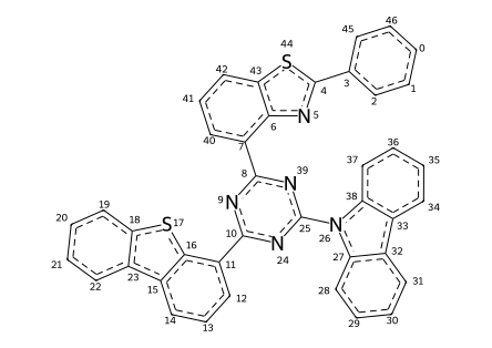 c1ccc(-c2nc3c(-c4nc(-c5cccc6c5sc5ccccc56)nc(-n5c6ccccc6c6ccccc65)n4)cccc3s2)cc1